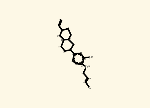 C=CC1CCC2CC(c3ccc(OCC=CC)c(F)c3)CCC2C1